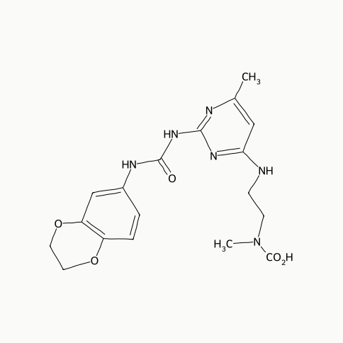 Cc1cc(NCCN(C)C(=O)O)nc(NC(=O)Nc2ccc3c(c2)OCCO3)n1